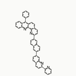 c1ccc(-c2c3ccccc3nc3c2ccc2ccc(-c4ccc5cc(-c6ccc7ccc(-c8ccccn8)nc7c6)ccc5c4)nc23)cc1